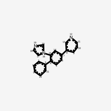 c1ccc(-c2ccc(-c3cccnc3)cc2-n2ccnc2)cc1